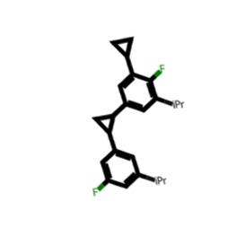 CC(C)c1cc(F)cc(C2CC2c2cc(C(C)C)c(F)c(C3CC3)c2)c1